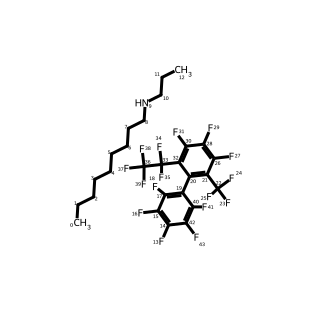 CCCCCCCCCNCCC.Fc1c(F)c(F)c(-c2c(C(F)(F)F)c(F)c(F)c(F)c2C(F)(F)C(F)(F)F)c(F)c1F